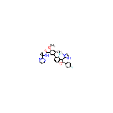 COc1cc(C)c(-c2ccc3oc(-c4ccc(F)cc4)c(-c4ncc[nH]4)c3c2F)cc1C(=O)NC1(c2ncccn2)CC1